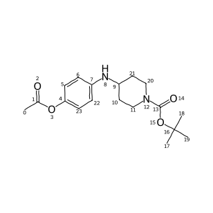 CC(=O)Oc1ccc(NC2CCN(C(=O)OC(C)(C)C)CC2)cc1